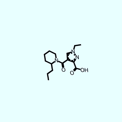 CCCC1CCCCN1C(=O)c1cn(CC)nc1C(=O)O